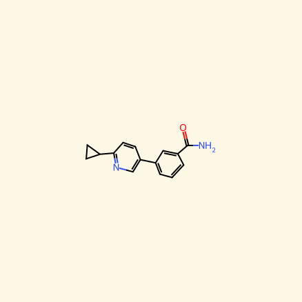 NC(=O)c1cccc(-c2ccc(C3CC3)nc2)c1